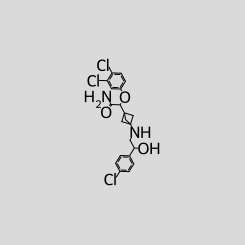 NC(=O)C(Oc1ccc(Cl)c(Cl)c1)C12CC(NCC(O)c3ccc(Cl)cc3)(C1)C2